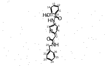 O=C(Cc1ccc(NC(=O)c2ccccc2O)cn1)NCc1ccccc1